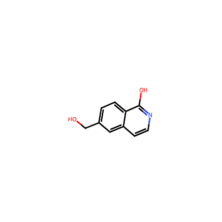 OCc1ccc2c(O)nccc2c1